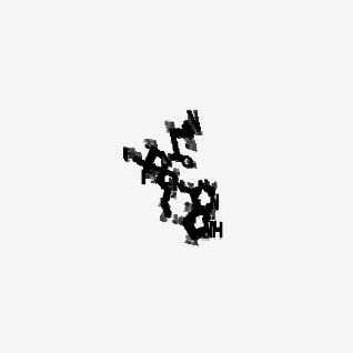 CCCCC1(CNc2ncnc3[nH]ccc23)N(C(=O)CC#N)CC1(F)F